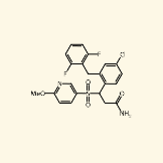 COc1ccc(S(=O)(=O)C(CC(N)=O)c2ccc(Cl)cc2Cc2c(F)cccc2F)cn1